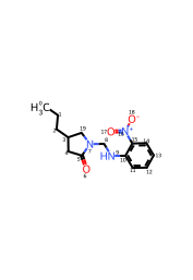 CCCC1CC(=O)N(CNc2ccccc2[N+](=O)[O-])C1